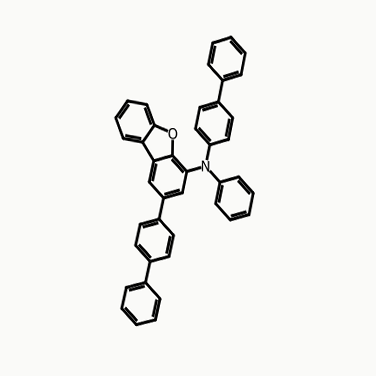 c1ccc(-c2ccc(-c3cc(N(c4ccccc4)c4ccc(-c5ccccc5)cc4)c4oc5ccccc5c4c3)cc2)cc1